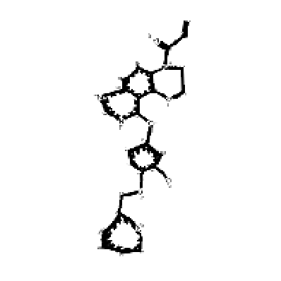 C=CC(=O)N1CCOc2c1ccc1ncnc(Oc3ccc(OCc4ccccn4)c(Cl)c3)c21